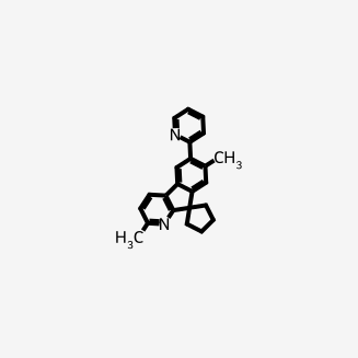 Cc1ccc2c(n1)C1(CCCC1)c1cc(C)c(-c3ccccn3)cc1-2